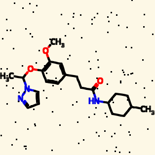 COc1cc(CCC(=O)NC2CCC(C)CC2)ccc1OC(C)n1cccn1